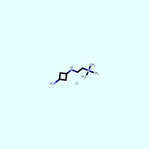 C[N+](C)(C)CCNC1CC(N)C1.[Cl-]